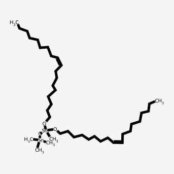 CCCCCCCC/C=C\CCCCCCCC[O][Sn]([CH3])([O]CCCCCCCC/C=C\CCCCCCCC)[O][Sn]([CH3])([CH3])[CH3]